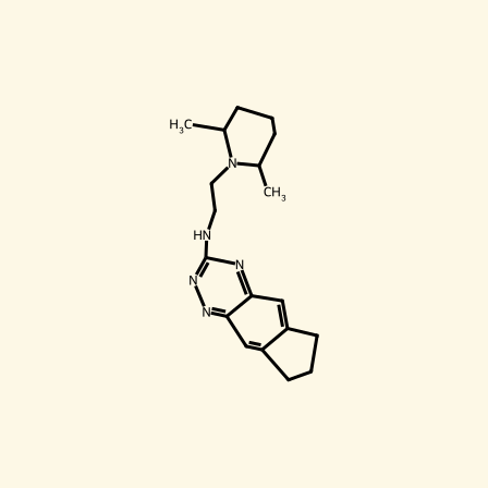 CC1CCCC(C)N1CCNc1nnc2cc3c(cc2n1)CCC3